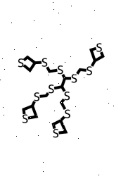 C(SC1CSC1)SC(SCSC1CSC1)C(SCSC1CSC1)SCSC1CSC1